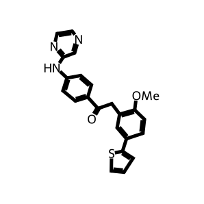 COc1ccc(-c2cccs2)cc1CC(=O)c1ccc(Nc2cnccn2)cc1